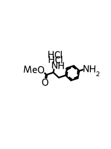 COC(=O)C(N)Cc1ccc(N)cc1.Cl.Cl